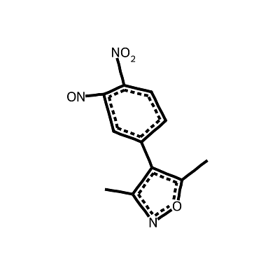 Cc1noc(C)c1-c1ccc([N+](=O)[O-])c(N=O)c1